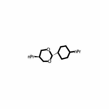 CCCC1CCC([C@H]2OC[C@H](CCC)CO2)CC1